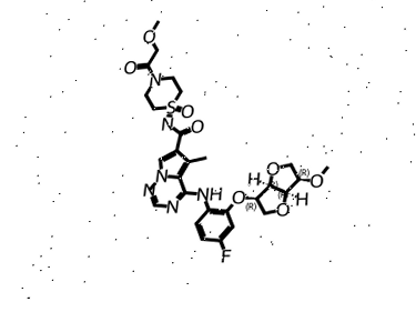 COCC(=O)N1CCS(=O)(=NC(=O)c2cn3ncnc(Nc4ccc(F)cc4O[C@@H]4CO[C@H]5[C@@H]4OC[C@H]5OC)c3c2C)CC1